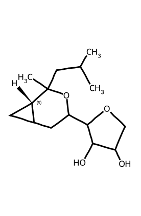 CC(C)CC1(C)OC(C2OCC(O)C2O)CC2C[C@@H]21